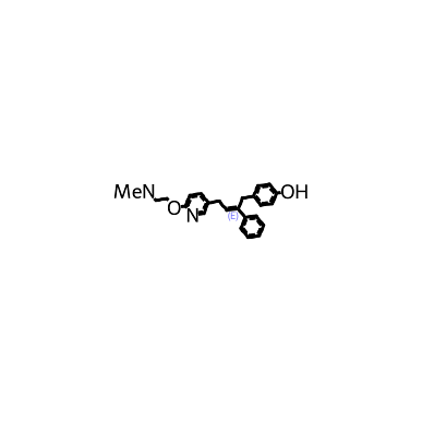 CNCCOc1ccc(C/C=C(\Cc2ccc(O)cc2)c2ccccc2)cn1